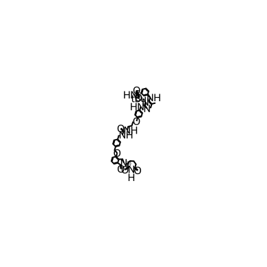 Cc1cnc(Nc2ccc(OCCCNC(=O)NCc3ccc(COc4cccc5c4CN([C@H]4CCCC(=O)NC4=O)C5=O)cc3)cc2)nc1Nc1cccc(S(=O)(=O)NC(C)(C)C)c1